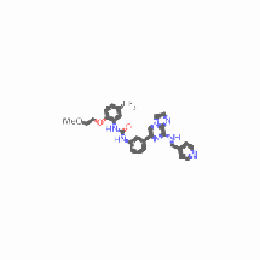 COCCOc1ccc(C(F)(F)F)cc1NC(=O)Nc1cccc(-c2cn3ccnc3c(NCc3ccncc3)n2)c1